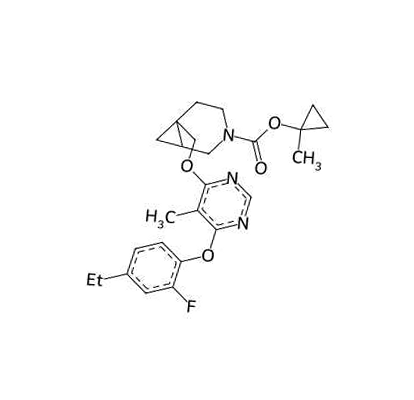 CCc1ccc(Oc2ncnc(OCC34CCN(C(=O)OC5(C)CC5)CC3C4)c2C)c(F)c1